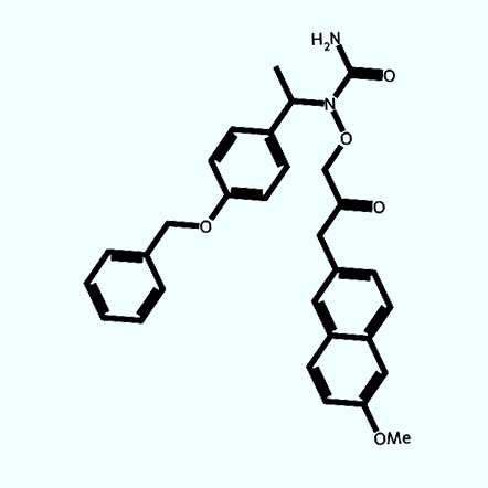 COc1ccc2cc(CC(=O)CON(C(N)=O)C(C)c3ccc(OCc4ccccc4)cc3)ccc2c1